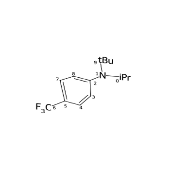 CC(C)N(c1ccc(C(F)(F)F)cc1)C(C)(C)C